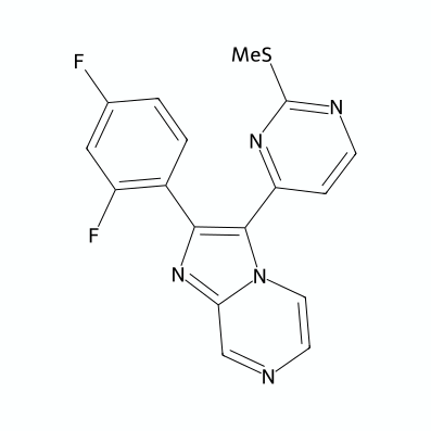 CSc1nccc(-c2c(-c3ccc(F)cc3F)nc3cnccn23)n1